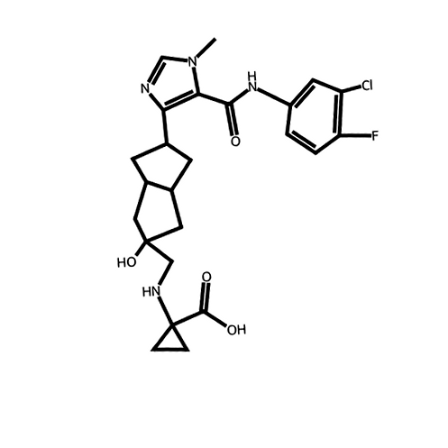 Cn1cnc(C2CC3CC(O)(CNC4(C(=O)O)CC4)CC3C2)c1C(=O)Nc1ccc(F)c(Cl)c1